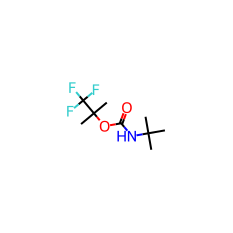 CC(C)(C)NC(=O)OC(C)(C)C(F)(F)F